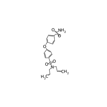 C=CCN(CC=C)S(=O)(=O)c1ccc(Oc2ccc(S(N)(=O)=O)cc2)cc1